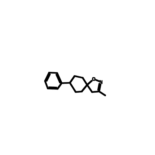 CC1=NOC2(CCC(c3ccccc3)CC2)C1